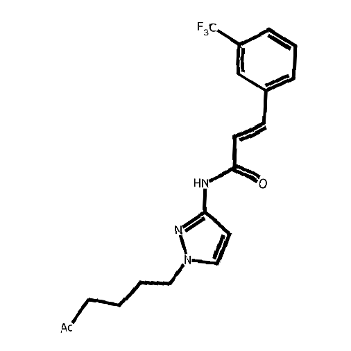 CC(=O)CCCCn1ccc(NC(=O)C=Cc2cccc(C(F)(F)F)c2)n1